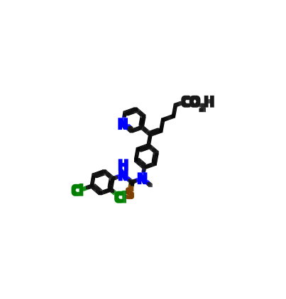 CN(C(=S)Nc1ccc(Cl)cc1Cl)c1ccc(C(=CCCCC(=O)O)c2cccnc2)cc1